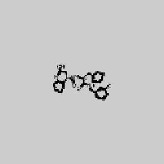 O=C(NCc1cccc(Cl)c1)[C@H](Cc1ccccc1)NC(=O)N1CC(O)=Nc2ccccc21